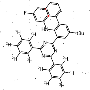 [2H]c1c([2H])c([2H])c(-c2nc(-c3cc(C(C)(C)C)cc(-c4ccccc4)c3Nc3cccc(F)c3)nc(-c3c([2H])c([2H])c([2H])c([2H])c3[2H])n2)c([2H])c1[2H]